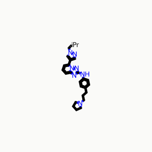 CC(C)Cn1cc(-c2cccc3nc(Nc4ccc(CCCN5CCCC5)cc4)nn23)cn1